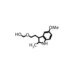 COc1ccc2c(c1)C(CCOCO)C(C)N2